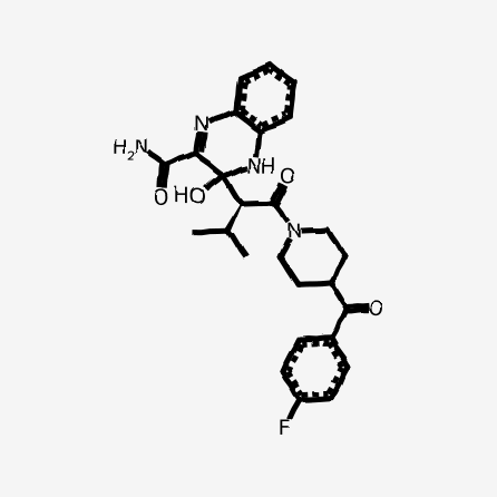 CC(C)[C@H](C(=O)N1CCC(C(=O)c2ccc(F)cc2)CC1)C1(O)Nc2ccccc2N=C1C(N)=O